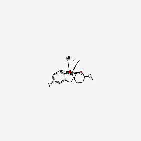 COC1CCC2(CC1)Cc1cc(F)ccc1C21N=C(N)N(C)C1=O